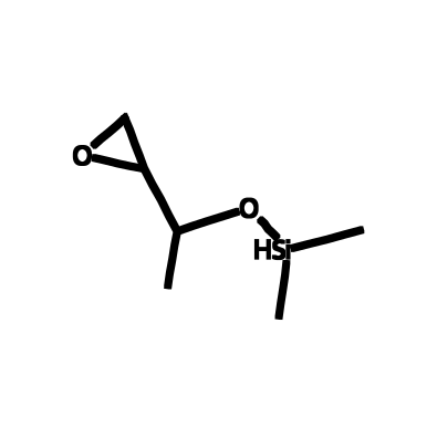 CC(O[SiH](C)C)C1CO1